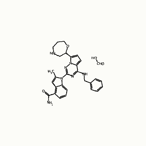 Cc1cc2c(C(N)=O)cccc2n1-c1nc(NCc2ccccc2)c2ccc(C3CNCCCO3)n2n1.O=CO